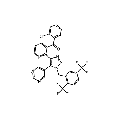 O=C(c1ccccc1Cl)c1cccnc1-c1nnn(Cc2cc(C(F)(F)F)ccc2C(F)(F)F)c1-c1cncnc1